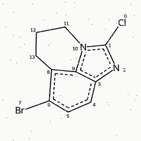 Clc1nc2ccc(Br)c3c2n1CCC3